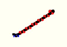 CCN=C=NCCOCCOCCOCCOCCOCCOCCOCCOCCOCCOCCC(=O)OC(C)(C)C